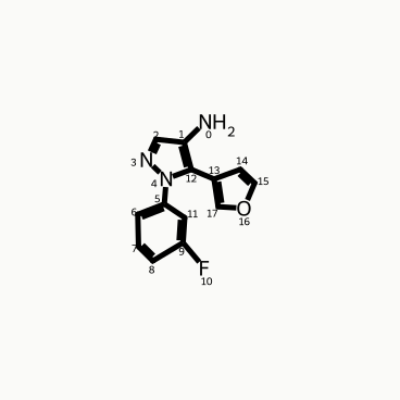 Nc1cnn(-c2cccc(F)c2)c1-c1ccoc1